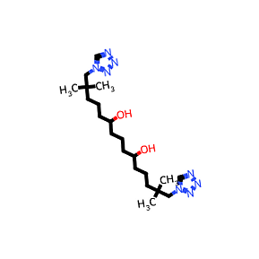 CC(C)(CCCC(O)CCCC(O)CCCC(C)(C)Cn1cnnn1)Cn1cnnn1